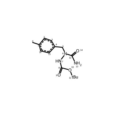 Cc1ccc(CN(NC(=O)OC(C)(C)C)C(N)=O)cc1